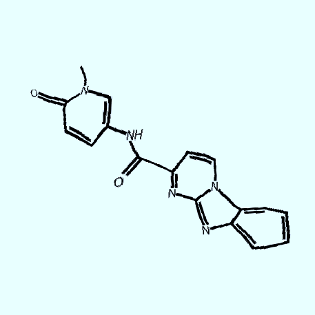 Cn1cc(NC(=O)c2ccn3c(n2)nc2ccccc23)ccc1=O